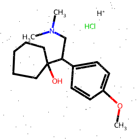 COc1ccc(C(CN(C)C)C2(O)CCCCC2)cc1.Cl.[H+]